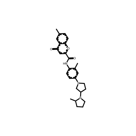 Cc1ccc2oc(C(=O)Nc3ccc(N4CCC(N5CCCC5C)C4)cc3C)cc(=O)c2c1